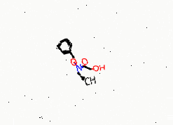 C#CCN(OCc1ccccc1)C(=O)CO